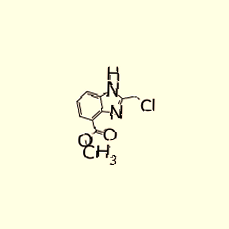 COC(=O)c1cccc2[nH]c(CCl)nc12